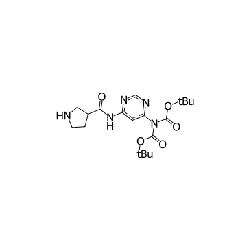 CC(C)(C)OC(=O)N(C(=O)OC(C)(C)C)c1cc(NC(=O)C2CCNC2)ncn1